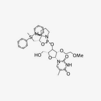 COCCO[C@H]1C(O[P@@]2O[C@H](C[Si](C)(c3ccccc3)c3ccccc3)[C@@H]3CCCN32)[C@@H](CO)O[C@H]1n1cc(C)c(=O)[nH]c1=O